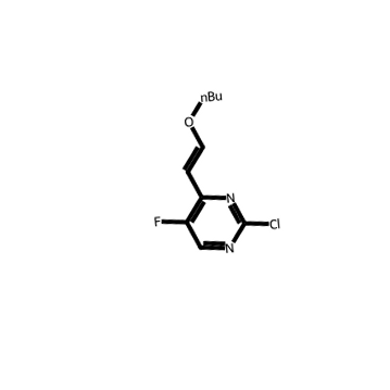 CCCCO/C=C/c1nc(Cl)ncc1F